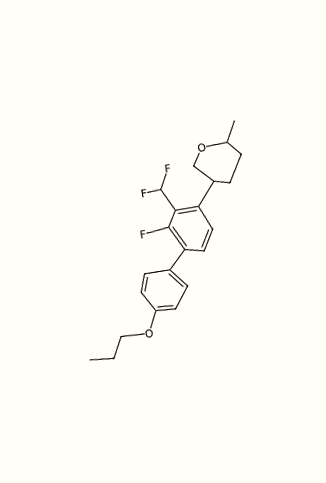 CCCOc1ccc(-c2ccc(C3CCC(C)OC3)c(C(F)F)c2F)cc1